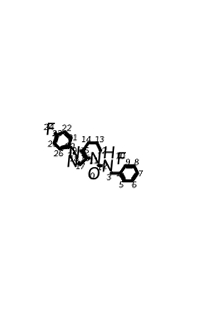 O=C(NCc1ccccc1F)N1CCCc2c1cnn2-c1ccc(F)cc1